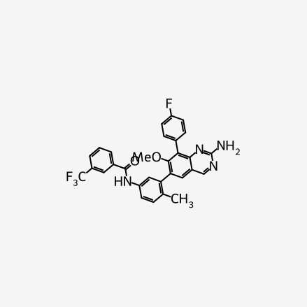 COc1c(-c2cc(NC(=O)c3cccc(C(F)(F)F)c3)ccc2C)cc2cnc(N)nc2c1-c1ccc(F)cc1